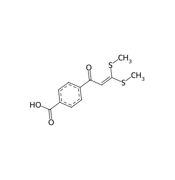 CSC(=CC(=O)c1ccc(C(=O)O)cc1)SC